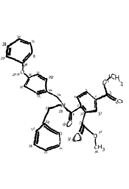 COC(=O)c1ccc(C(=O)N(Cc2ccccc2)Cc2ccc(Oc3ccccc3)cc2)c(C(=O)OC)c1